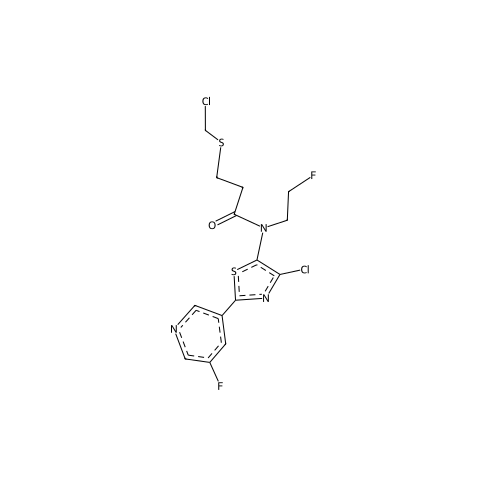 O=C(CCSCCl)N(CCF)c1sc(-c2cncc(F)c2)nc1Cl